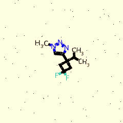 CC(C)C1(c2cn(C)nn2)CC(F)(F)C1